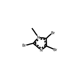 Cn1c(Br)nc(Br)c1Br